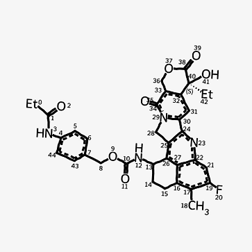 CCC(=O)Nc1ccc(COC(=O)NC2CCc3c(C)c(F)cc4nc5c(c2c34)Cn2c-5cc3c(c2=O)COC(=O)[C@]3(O)CC)cc1